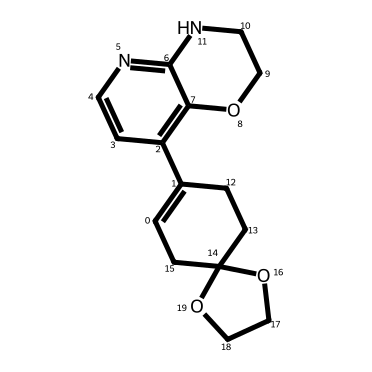 C1=C(c2ccnc3c2OCCN3)CCC2(C1)OCCO2